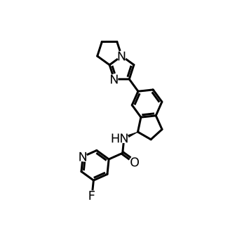 O=C(N[C@@H]1CCc2ccc(-c3cn4c(n3)CCC4)cc21)c1cncc(F)c1